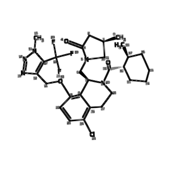 C[C@@H]1CC(=O)N(C[C@@H]2c3c(OCc4nnn(C)c4C(F)(F)F)ccc(Cl)c3CCN2C(=O)[C@H]2CCCC[C@@H]2C)C1